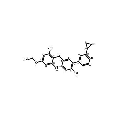 CC(=O)COc1cc(Cl)c(Cc2ccc(O)c(-c3cccc(C4CC4)c3)c2)c(Cl)c1